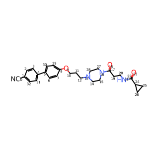 N#Cc1ccc(-c2ccc(OCCCN3CCN(C(=O)CCNC(=O)C4CC4)CC3)cc2)cc1